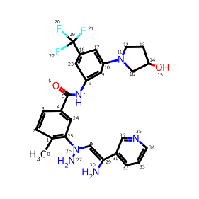 Cc1ccc(C(=O)Nc2cc(N3CCC(O)C3)cc(C(F)(F)F)c2)cc1N(N)/C=C(\N)c1cccnc1